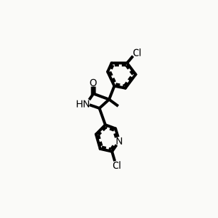 CC1(c2ccc(Cl)cc2)C(=O)NC1c1ccc(Cl)nc1